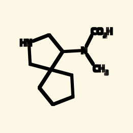 CN(C(=O)O)C1CNCC12CCCC2